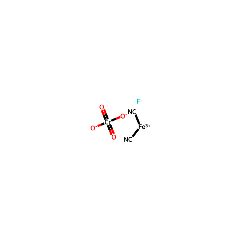 N#[C][Fe+3][C]#N.[F-].[O]=[Cr](=[O])([O-])[O-]